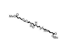 COC(=O)CCCOCOC=CNCC(=O)NCCSSCCNC=CCC(=O)OC(C)(C)C